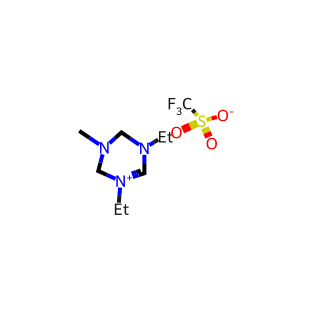 CCN1C=[N+](CC)CN(C)C1.O=S(=O)([O-])C(F)(F)F